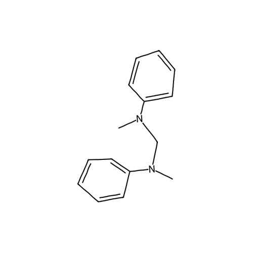 CN(CN(C)c1ccccc1)c1ccccc1